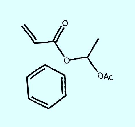 C=CC(=O)OC(C)OC(C)=O.c1ccccc1